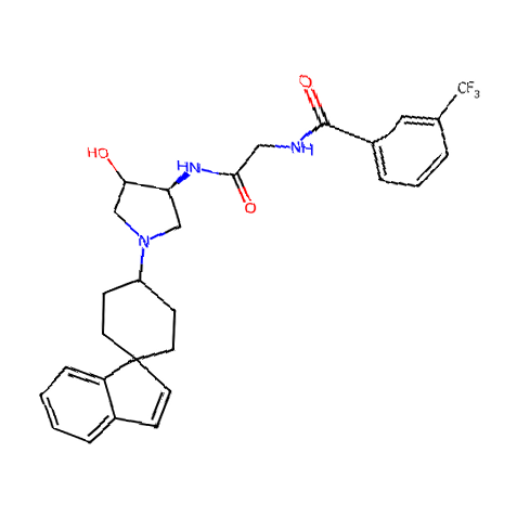 O=C(CNC(=O)c1cccc(C(F)(F)F)c1)N[C@H]1CN(C2CCC3(C=Cc4ccccc43)CC2)CC1O